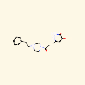 O=C(CCc1cc(O)c(=O)[nH]n1)N1CCN(CCc2ccccc2)CC1